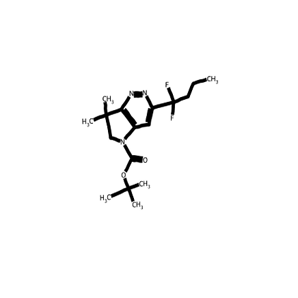 CCCC(F)(F)c1cc2c(nn1)C(C)(C)CN2C(=O)OC(C)(C)C